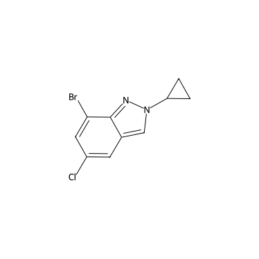 Clc1cc(Br)c2nn(C3CC3)cc2c1